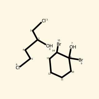 OC(CCl)CCCl.OC1(Br)CCCCC1Br